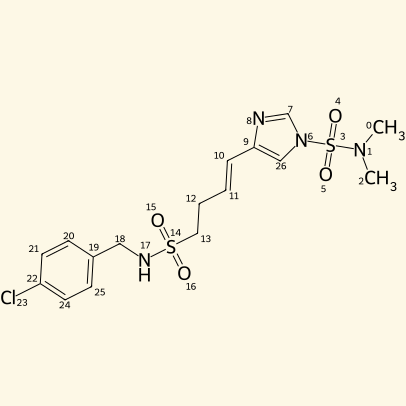 CN(C)S(=O)(=O)n1cnc(C=CCCS(=O)(=O)NCc2ccc(Cl)cc2)c1